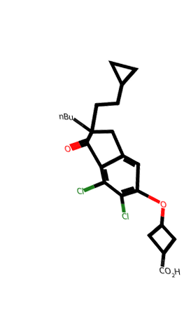 CCCCC1(CCC2CC2)Cc2cc(OC3CC(C(=O)O)C3)c(Cl)c(Cl)c2C1=O